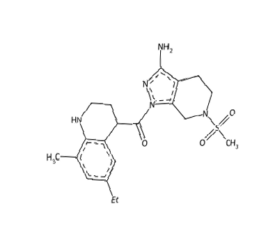 CCc1cc(C)c2c(c1)C(C(=O)n1nc(N)c3c1CN(S(C)(=O)=O)CC3)CCN2